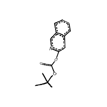 CC(C)(C)OC(=O)Oc1cc2ccccc2cn1